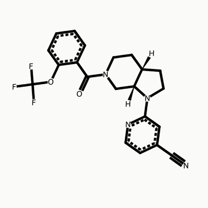 N#Cc1ccnc(N2CC[C@H]3CCN(C(=O)c4ccccc4OC(F)(F)F)C[C@H]32)c1